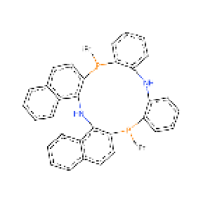 CC(C)P1c2ccccc2Nc2ccccc2P(C(C)C)c2ccc3ccccc3c2Nc2c1ccc1ccccc21